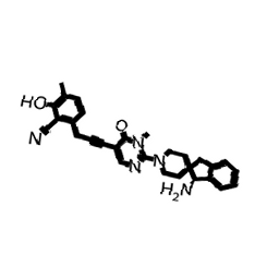 Cc1ccc(CC#Cc2cnc(N3CCC4(CC3)Cc3ccccc3[C@H]4N)n(C)c2=O)c(C#N)c1O